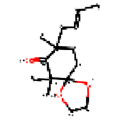 C/C=C/CC1(C)CCC2(OCCO2)C(C)(C)C1=O